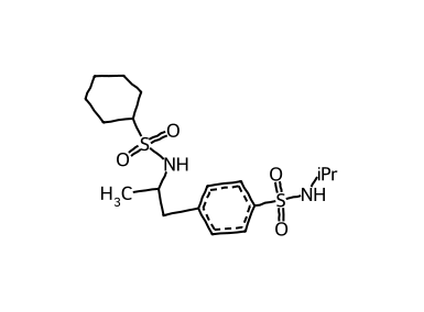 CC(C)NS(=O)(=O)c1ccc(CC(C)NS(=O)(=O)C2CCCCC2)cc1